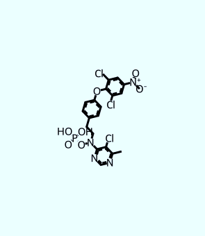 Cc1ncnc(N(CCc2ccc(Oc3c(Cl)cc([N+](=O)[O-])cc3Cl)cc2)OP(=O)(O)O)c1Cl